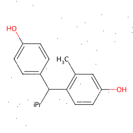 Cc1cc(O)ccc1C(c1ccc(O)cc1)C(C)C